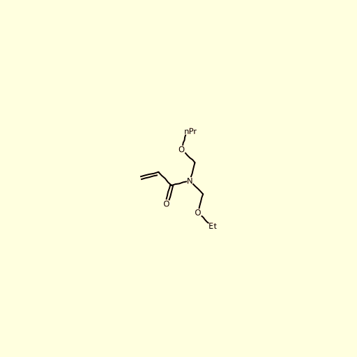 C=CC(=O)N(COCC)COCCC